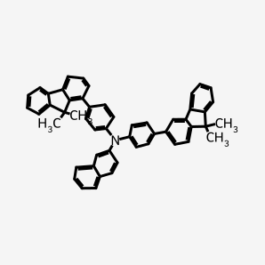 CC1(C)c2ccccc2-c2cc(-c3ccc(N(c4ccc(-c5cccc6c5C(C)(C)c5ccccc5-6)cc4)c4ccc5ccccc5c4)cc3)ccc21